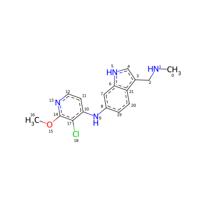 CNCc1c[nH]c2cc(Nc3ccnc(OC)c3Cl)ccc12